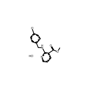 COC(=O)c1cccnc1NCc1ccc(Cl)cc1.Cl